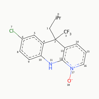 CC(C)CC1(C(F)(F)F)c2cc(Cl)ccc2Nc2c1ccc[n+]2[O-]